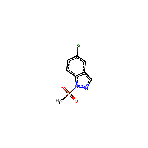 CS(=O)(=O)n1ncc2cc(Br)ccc21